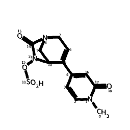 Cn1ccc(C2=CCN3CC2N(OS(=O)(=O)O)C3=O)cc1=O